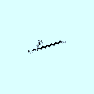 CCOP(CCCCCCCCCCO)OCC